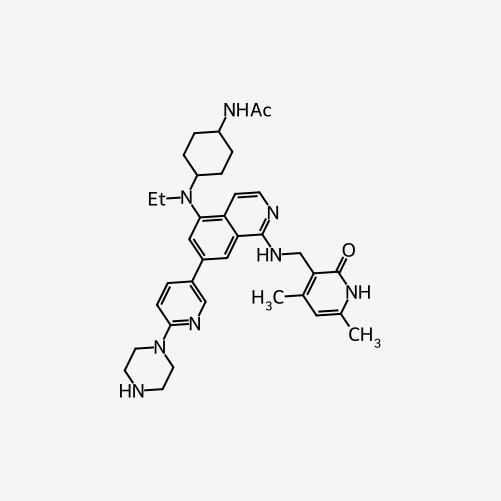 CCN(c1cc(-c2ccc(N3CCNCC3)nc2)cc2c(NCc3c(C)cc(C)[nH]c3=O)nccc12)C1CCC(NC(C)=O)CC1